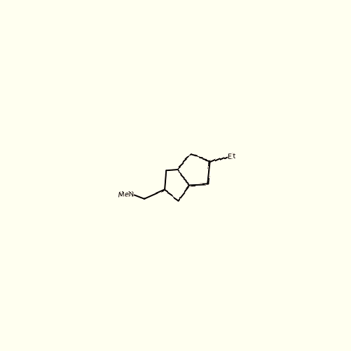 CCC1CC2CC(CNC)CC2C1